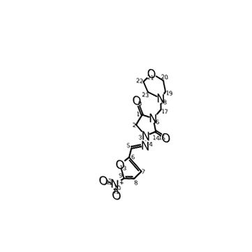 O=C1CN(N=Cc2ccc([N+](=O)[O-])o2)C(=O)N1CN1CCOCC1